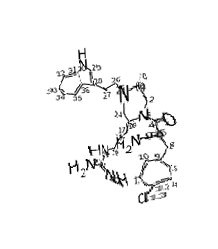 C[C@@H]1CN(C(=O)[C@H](N)Cc2ccc(Cl)cc2)[C@@H](CCCNC(=N)N)CN1CCc1c[nH]c2ccccc12